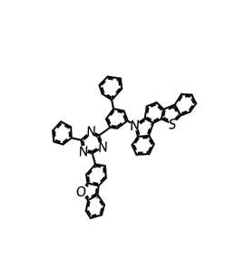 c1ccc(-c2cc(-c3nc(-c4ccccc4)nc(-c4ccc5c(c4)oc4ccccc45)n3)cc(-n3c4ccccc4c4c5sc6ccccc6c5ccc43)c2)cc1